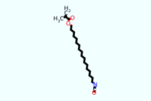 C=C(C)C(=O)OCCCCCCCCCCCCCCCCCCN=C=O